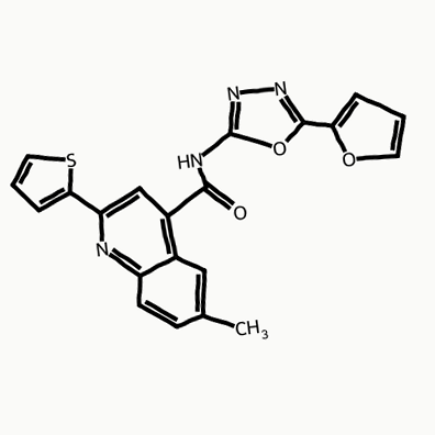 Cc1ccc2nc(-c3cccs3)cc(C(=O)Nc3nnc(-c4ccco4)o3)c2c1